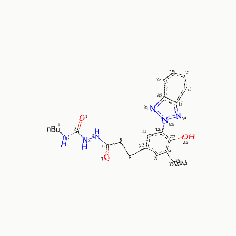 CCCCNC(=O)NNC(=O)CCc1cc(-n2nc3ccccc3n2)c(O)c(C(C)(C)C)c1